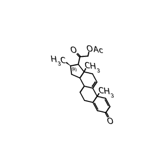 CC(=O)OCC(=O)C1[C@H](C)CC2C3CCC4=CC(=O)C=CC4(C)C3=CCC21C